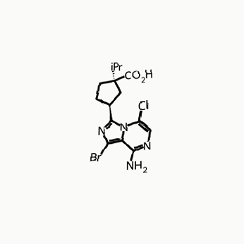 CC(C)[C@@]1(C(=O)O)CC[C@H](c2nc(Br)c3c(N)ncc(Cl)n23)C1